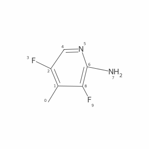 Cc1c(F)cnc(N)c1F